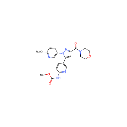 COc1ccc(-n2nc(C(=O)N3CCOCC3)cc2-c2ccc(NC(=O)OC(C)(C)C)nc2)cn1